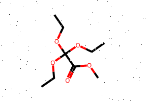 CCOC(OCC)(OCC)C(=O)OC